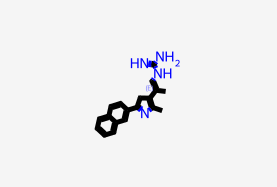 CC1=C(/C(C)=C/NC(=N)N)CC(c2ccc3ccccc3c2)=N1